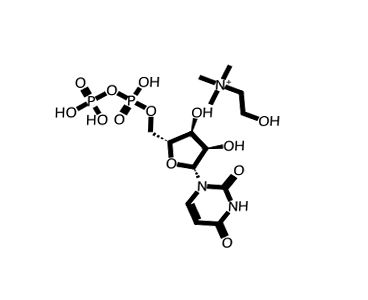 C[N+](C)(C)CCO.O=c1ccn([C@@H]2O[C@H](COP(=O)(O)OP(=O)(O)O)[C@@H](O)[C@H]2O)c(=O)[nH]1